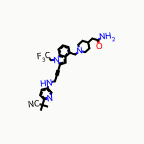 CC(C)(C#N)c1ccc(NCC#Cc2cc3c(CN4CCC(CC(N)=O)CC4)cccc3n2CC(F)(F)F)cn1